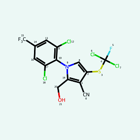 N#Cc1c(SC(F)(Cl)Cl)cn(-c2c(Cl)cc(C(F)(F)F)cc2Cl)c1CO